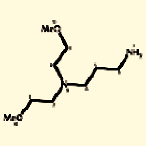 COCCN(CCCN)CCOC